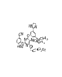 CCCCc1ccc(C#N)cc1Oc1nc(OCC(=O)OCC)c([N+](=O)[O-])c(Oc2cc(C3=NCCN3)cc(N(C)C)c2)n1